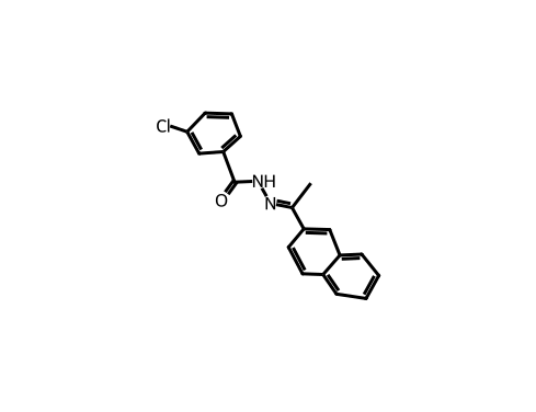 CC(=NNC(=O)c1cccc(Cl)c1)c1ccc2ccccc2c1